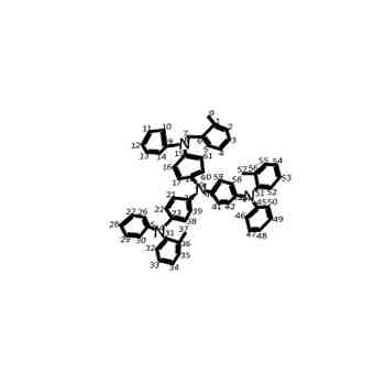 Cc1ccccc1CN(c1ccccc1)c1ccc(N(c2ccc(N(c3ccccc3)c3ccccc3C)cc2)c2ccc(N(c3ccccc3)c3ccccc3C)cc2)cc1